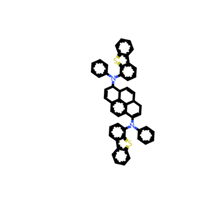 C1=CC(N(c2ccccc2)c2cccc3c2sc2ccccc23)C2C=CC3CC=C(N(c4ccccc4)c4cccc5c4sc4ccccc45)c4ccc1c2c43